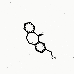 N#CCc1ccc2c(c1)C(=O)c1ccccc1CC2